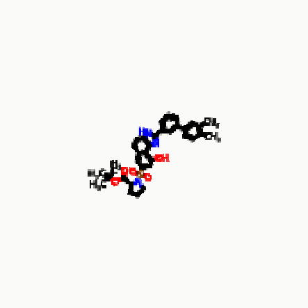 Cc1ccc(-c2cccc(-c3nc4c(ccc5cc(S(=O)(=O)N6CCCC6C(=O)OC(C)(C)C)cc(O)c54)[nH]3)c2)cc1C